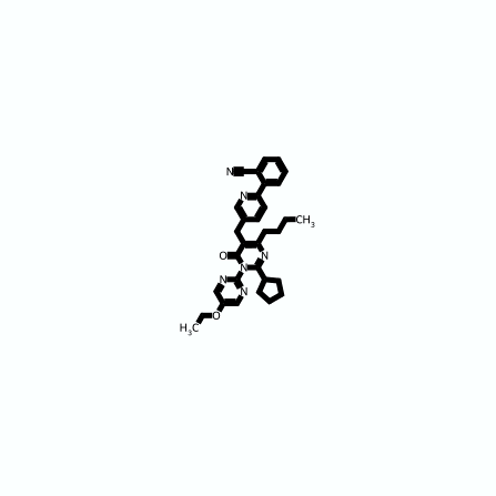 CCCCc1nc(C2CCCC2)n(-c2ncc(OCC)cn2)c(=O)c1Cc1ccc(-c2ccccc2C#N)nc1